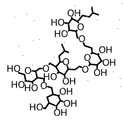 CC(C)CCC1OC(COCCC2OC(OCCC3OC(CC(C)C)C(COCC4OC(CO)C(O)C(O)C4COCC4CC(CO)C(O)C(O)C4O)C(O)C3O)C(O)C(O)C2O)C(O)C(O)C1O